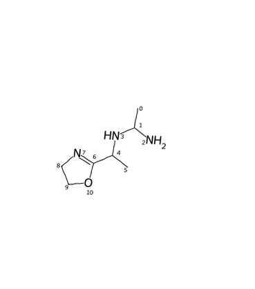 CC(N)NC(C)C1=NCCO1